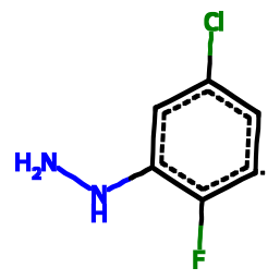 NNc1cc(Cl)c[c]c1F